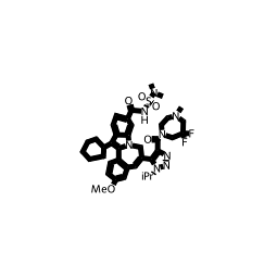 COc1ccc2c(c1)C=C(c1c(C(=O)N3CCN(C)CC(F)(F)C3)nnn1C(C)C)Cn1c-2c(C2CCCCC2)c2ccc(C(=O)NS(=O)(=O)N(C)C)cc21